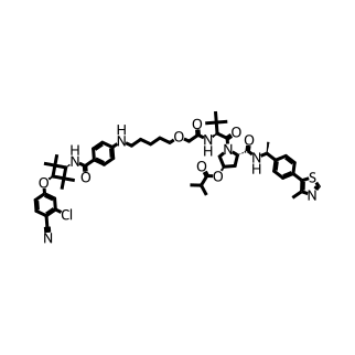 Cc1ncsc1-c1ccc([C@H](C)NC(=O)[C@@H]2C[C@@H](OC(=O)C(C)C)CN2C(=O)[C@@H](NC(=O)COCCCCCNc2ccc(C(=O)N[C@H]3C(C)(C)[C@H](Oc4ccc(C#N)c(Cl)c4)C3(C)C)cc2)C(C)(C)C)cc1